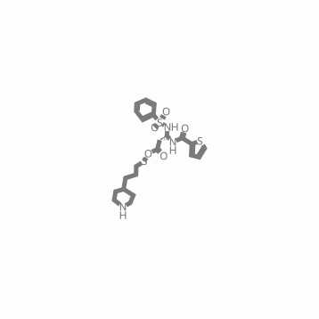 O=C(C[C@@H](NC(=O)c1cccs1)NS(=O)(=O)c1ccccc1)OSCCCC1CCNCC1